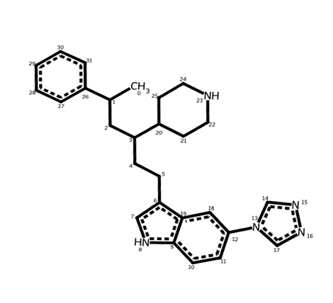 CC(CC(CCc1c[nH]c2ccc(-n3cnnc3)cc12)C1CCNCC1)c1ccccc1